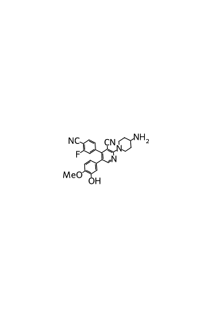 COc1ccc(-c2cnc(N3CCC(N)CC3)c(C#N)c2-c2ccc(C#N)c(F)c2)cc1O